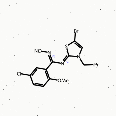 COc1ccc(Cl)cc1C(/N=c1\sc(Br)cn1CC(C)C)=N\C#N